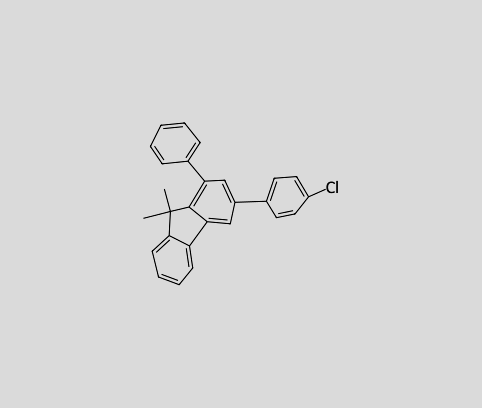 CC1(C)c2ccccc2-c2cc(-c3ccc(Cl)cc3)cc(-c3ccccc3)c21